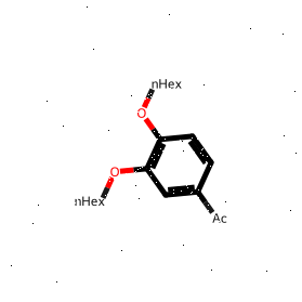 CCCCCCOc1ccc(C(C)=O)cc1OCCCCCC